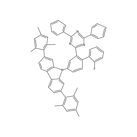 Cc1cc(C)c(-c2ccc3c4ccc(-c5c(C)cc(C)cc5C)cc4n(-c4ccc(-c5ccccc5F)c(-c5nc(-c6ccccc6)nc(-c6ccccc6)n5)c4)c3c2)c(C)c1